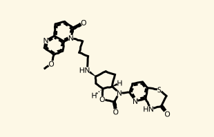 COc1cnc2ccc(=O)n(CCCN[C@H]3CC[C@H]4[C@H](C3)OC(=O)N4c3ccc4c(n3)NC(=O)CS4)c2c1